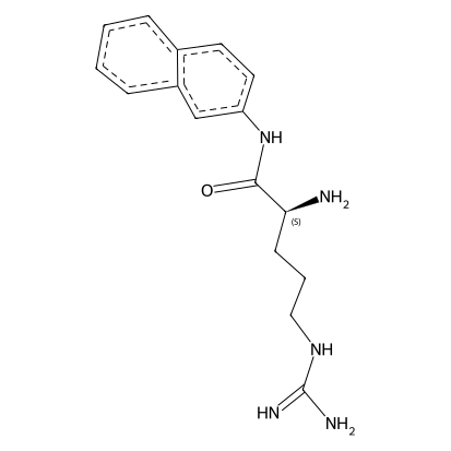 N=C(N)NCCC[C@H](N)C(=O)Nc1ccc2ccccc2c1